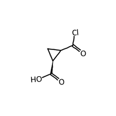 O=C(Cl)C1C[C@@H]1C(=O)O